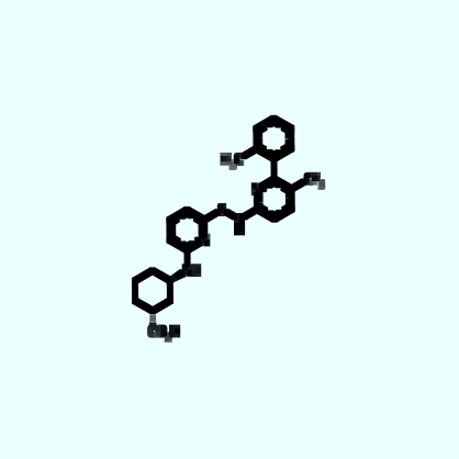 Cc1ccccc1-c1nc(NSc2cccc(N[C@@H]3CCC[C@@H](C(=O)O)C3)n2)ccc1C(F)(F)F